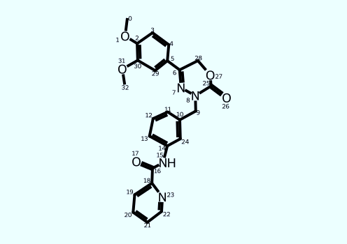 COc1ccc(C2=NN(Cc3cccc(NC(=O)c4ccccn4)c3)C(=O)OC2)cc1OC